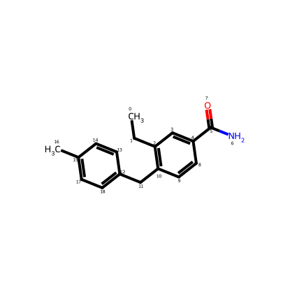 CCc1cc(C(N)=O)ccc1Cc1ccc(C)cc1